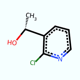 C[C@@H](O)c1cccnc1Cl